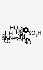 CS(=O)(=O)NC(=O)NCCSc1nc(Nc2cc(S(=O)(=O)O)ccc2S(=O)(=O)O)nc(N2CCOCC2)n1